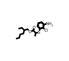 CCCCC(CC)COC(=O)C(C)Sc1cccc(N)c1Cl